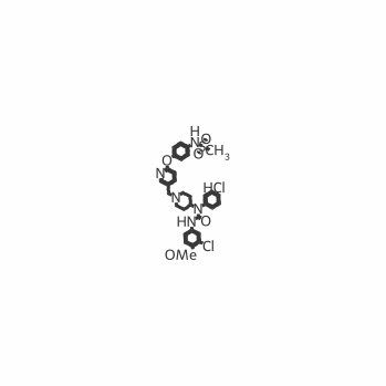 COc1ccc(NC(=O)N(c2ccccc2)C2CCN(Cc3ccc(Oc4ccc(NS(C)(=O)=O)cc4)nc3)CC2)cc1Cl.Cl